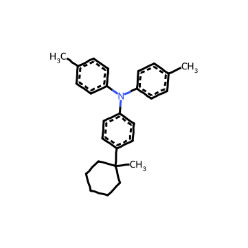 Cc1ccc(N(c2ccc(C)cc2)c2ccc(C3(C)CCCCC3)cc2)cc1